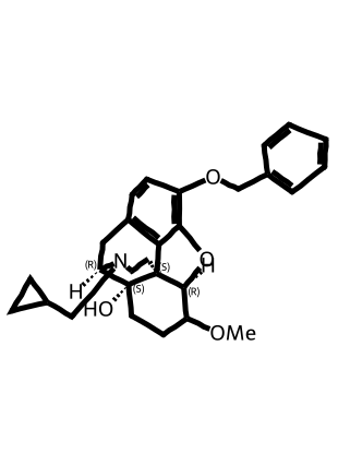 COC1CC[C@@]2(O)[C@H]3Cc4ccc(OCc5ccccc5)c5c4[C@@]2(CCN3CC2CC2)[C@H]1O5